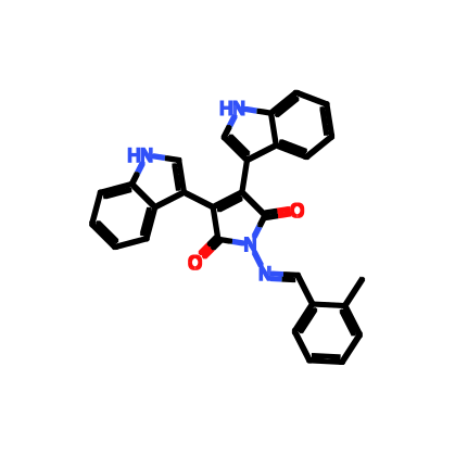 Cc1ccccc1/C=N/N1C(=O)C(c2c[nH]c3ccccc23)=C(c2c[nH]c3ccccc23)C1=O